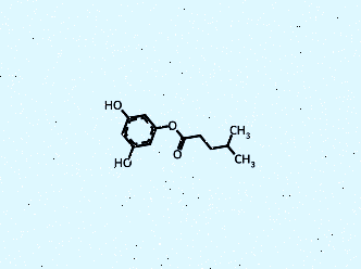 CC(C)CCC(=O)Oc1cc(O)cc(O)c1